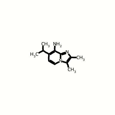 Cc1nc2c(N)c(C(C)C)ccn2c1C